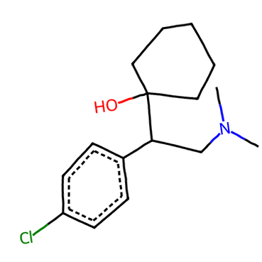 CN(C)CC(c1ccc(Cl)cc1)C1(O)CCCCC1